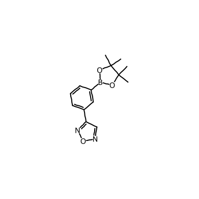 CC1(C)OB(c2cccc(-c3cnon3)c2)OC1(C)C